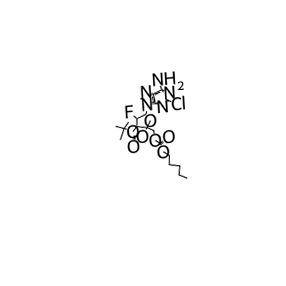 CCCCCOC(=O)OCC1(OC=O)OC(n2cnc3c(N)nc(Cl)nc32)C(F)C1OC(C)(C)C